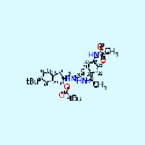 C[C@@H](NC(=S)NC[C@@H](COC(=O)C(C)(C)C)Cc1ccc(C(C)(C)C)cc1)c1ccc(NS(C)(=O)=O)cc1